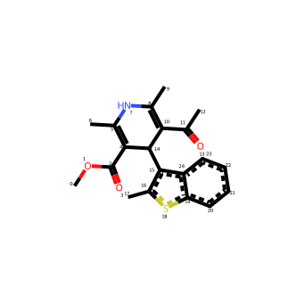 COC(=O)C1=C(C)NC(C)=C(C(C)=O)C1c1c(C)sc2ccccc12